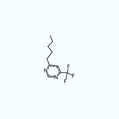 CCCCCc1cc(C(F)(F)F)ncn1